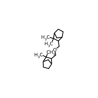 CC1(C)C2CCC(C2)C1COCC1C2CCC(C2)C1(C)C